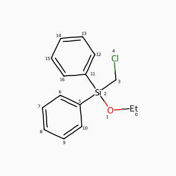 CCO[Si](CCl)(c1ccccc1)c1ccccc1